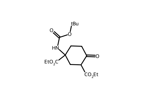 CCOC(=O)C1CC(NC(=O)OC(C)(C)C)(C(=O)OCC)CCC1=O